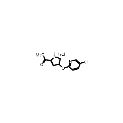 COC(=O)C1CC(Oc2ccc(Cl)cn2)CN1.Cl